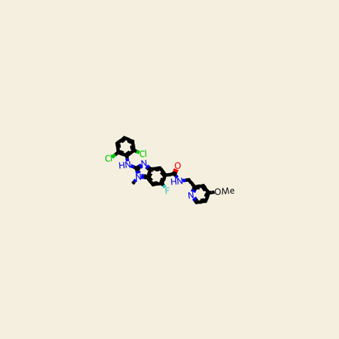 COc1ccnc(CNC(=O)c2cc3nc(Nc4c(Cl)cccc4Cl)n(C)c3cc2F)c1